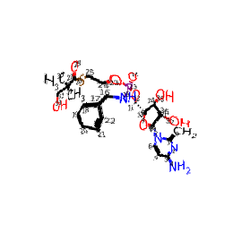 C=C1N=C(N)C=CN1[C@@H]1O[C@H](COP(=O)(NCc2ccccc2)OCCSC(=O)C(C)(C)CO)C(O)[C@H]1O